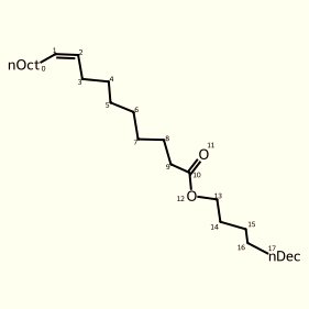 CCCCCCCC/C=C\CCCCCCCC(=O)OCCCCCCCCCCCCCC